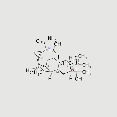 C=C1/C=C\C(C(N)=O)=C(\O)C[C@]23CC[N@+](C)(CC4CC4)[C@H](C1)[C@]21CC[C@](OC)(C3)[C@@H](C(C)(O)C(C)(C)C)C1